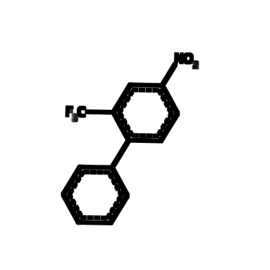 O=[N+]([O-])c1ccc(-c2ccccc2)c(C(F)(F)F)c1